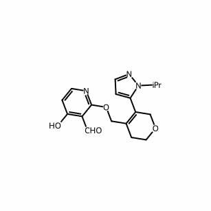 CC(C)n1nccc1C1=C(COc2nccc(O)c2C=O)CCOC1